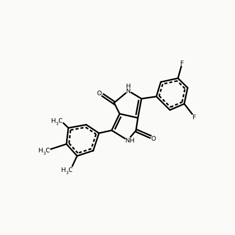 Cc1cc(C2=C3C(=O)NC(c4cc(F)cc(F)c4)=C3C(=O)N2)cc(C)c1C